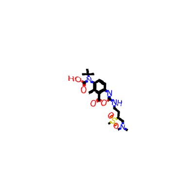 Cc1c(N(C(=O)O)C(C)(C)C)ccc2nc(NCCC(CN(C)C)S(C)(=O)=O)oc(=O)c12